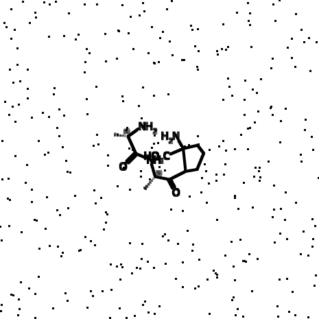 C[C@H](N)C(=O)N[C@@H](C)C(=O)C1CCCC1(N)C(=O)O